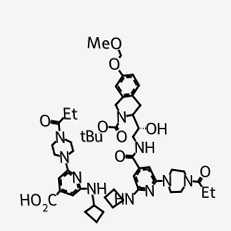 CCC(=O)N1CCN(c2cc(C(=O)NC[C@@H](O)C3Cc4ccc(OCOC)cc4CN3C(=O)OC(C)(C)C)cc(NC3CCC3)n2)CC1.CCC(=O)N1CCN(c2cc(C(=O)O)cc(NC3CCC3)n2)CC1